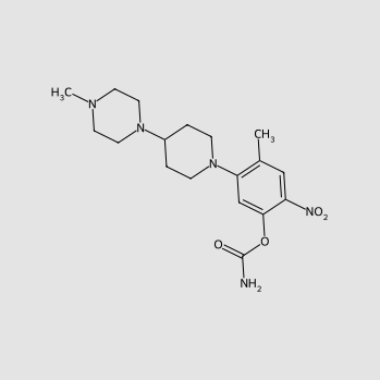 Cc1cc([N+](=O)[O-])c(OC(N)=O)cc1N1CCC(N2CCN(C)CC2)CC1